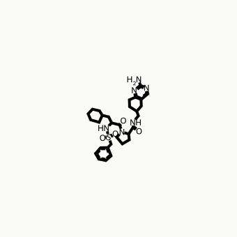 Nc1ncc2c(n1)CCC(CNC(=O)C1CCCN1C(=O)C(CC1CCCCC1)NS(=O)(=O)Cc1ccccc1)C2